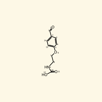 O=Cc1ccc(OCCNC(=O)O)cc1